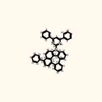 c1ccc(-c2cc(-c3ccccc3)nc(-n3c4cccc5c4c4c6c(ccc(-c7ccccc7)c6ccc43)-c3ccccc3-5)n2)cc1